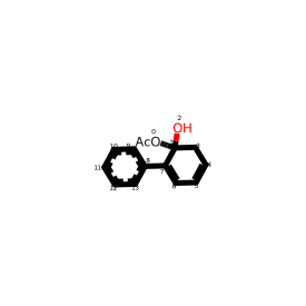 CC(=O)OC1(O)CC=CC=C1c1ccccc1